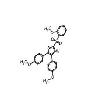 COc1ccc(-c2nc(S(=O)(=O)c3ccccc3OC)[nH]c2-c2ccc(OC)cc2)cc1